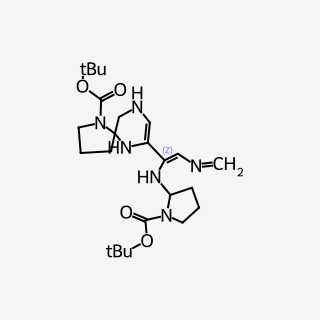 C=N/C=C(\NC1CCCN1C(=O)OC(C)(C)C)C1=CNCC2(CCCN2C(=O)OC(C)(C)C)N1